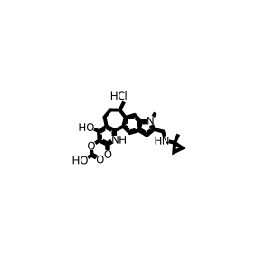 CC1CCc2c([nH]c(=O)c(OC(=O)O)c2O)-c2cc3cc(CNC4(C)CC4)n(C)c3cc21.Cl